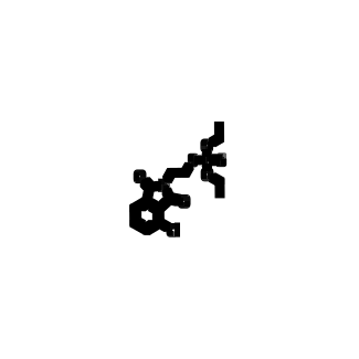 CCOP(=S)(OCC)SCCN1C(=O)c2cccc(Cl)c2C1=O